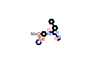 COc1ccc(NC(=O)c2cc(-c3ncco3)nc3ccc(-c4ccccc4)cc23)cc1S(=O)(=O)N1CCCCC1